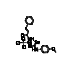 COc1ccc(NC(=[Se])NC(NC(=O)/C=C/c2ccccc2)C(Cl)(Cl)Cl)cc1